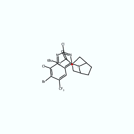 CC(C)(C)OC(=O)N1CC2CCC(C1)N2c1nc(Cl)nc2c(Cl)c(Br)c(C(F)(F)F)cc12